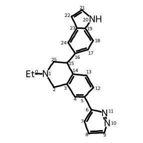 CCN1Cc2cc(-c3cccnn3)ccc2C(c2ccc3[nH]ccc3c2)C1